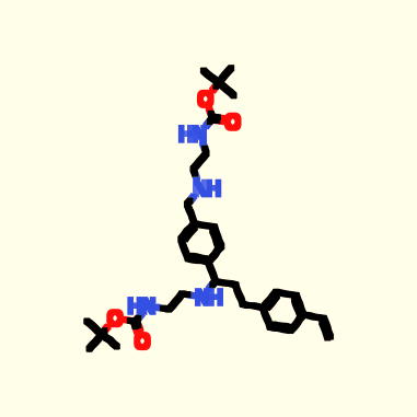 C=Cc1ccc(CCC(NCCNC(=O)OC(C)(C)C)c2ccc(CNCCNC(=O)OC(C)(C)C)cc2)cc1